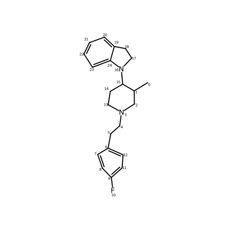 CC1CN(CCc2ccc(F)cc2)CCC1N1CCc2ccccc21